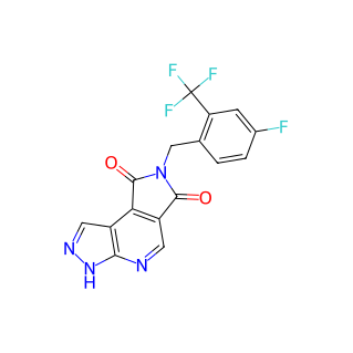 O=C1c2cnc3[nH]ncc3c2C(=O)N1Cc1ccc(F)cc1C(F)(F)F